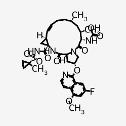 COc1cc(F)cc2c(O[C@@H]3C[C@H]4C(=O)N[C@]5(C(=O)NS(=O)(=O)C6(C)CC6)C[C@H]5/C=C\CC[C@H](C)C[C@@H](C)[C@H](NC(=O)O)C(=O)N4C3)nccc12